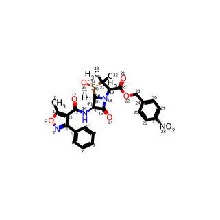 Cc1onc(-c2ccccc2)c1C(=O)N[C@@H]1C(=O)N2C(C(=O)OCc3ccc([N+](=O)[O-])cc3)C(C)(C)[S@+]([O-])[C@H]12